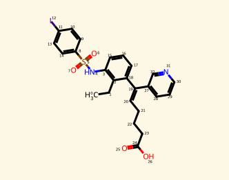 CCc1c(NS(=O)(=O)c2ccc(I)cc2)cccc1C(=CCCCC(=O)O)c1cccnc1